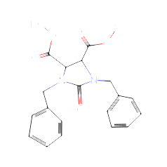 COC(=O)C1C(C(=O)OC)N(Cc2ccccc2)C(=O)N1Cc1ccccc1